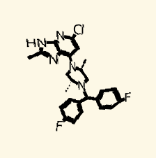 Cc1nc2c(N3C[C@@H](C)N(C(c4ccc(F)cc4)c4ccc(F)cc4)C[C@@H]3C)cc(Cl)nc2[nH]1